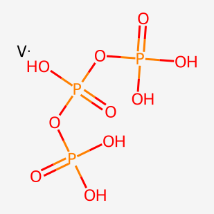 O=P(O)(O)OP(=O)(O)OP(=O)(O)O.[V]